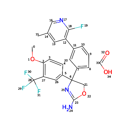 COc1ccc(C2(c3cccc(-c4cc(C)cnc4F)c3)COC(N)=N2)cc1C(F)(F)F.O=CO